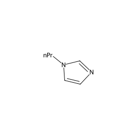 [CH2]CCn1ccnc1